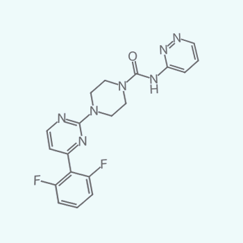 O=C(Nc1cccnn1)N1CCN(c2nccc(-c3c(F)cccc3F)n2)CC1